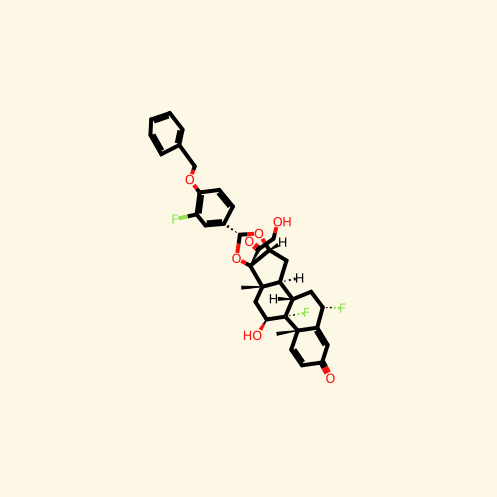 C[C@]12C=CC(=O)C=C1[C@@H](F)C[C@H]1[C@@H]3C[C@H]4O[C@@H](c5ccc(OCc6ccccc6)c(F)c5)O[C@@]4(C(=O)CO)[C@@]3(C)C[C@H](O)[C@@]12F